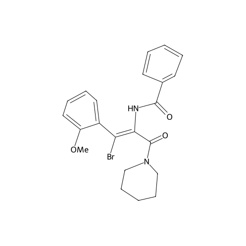 COc1ccccc1/C(Br)=C(\NC(=O)c1ccccc1)C(=O)N1CCCCC1